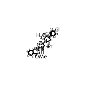 COC(=O)c1ccccc1CNC(=O)N[C@@H](C(=O)N1CCC(c2ccc(Cl)cc2)C(C)(C)C1)C(C)C